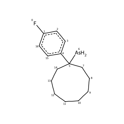 Fc1ccc(C2([AsH2])CCCCCCCC2)cc1